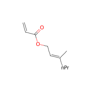 C=CC(=O)OCC=C(C)CCC